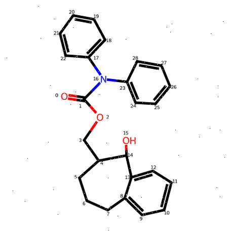 O=C(OCC1CCCc2ccccc2C1O)N(c1ccccc1)c1ccccc1